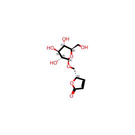 O=C1C=C[C@@H](CO[C@@H]2O[C@H](CO)[C@@H](O)[C@H](O)[C@H]2O)O1